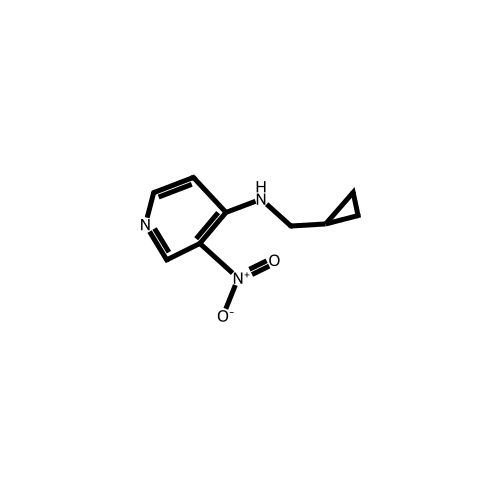 O=[N+]([O-])c1cnccc1NCC1CC1